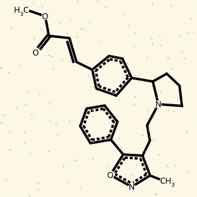 COC(=O)/C=C/c1ccc(C2CCCN2CCc2c(C)noc2-c2ccccc2)cc1